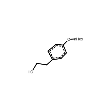 CCCCCCOc1ccc(CCO)cc1